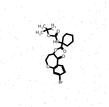 CC(C)(C)OC(=O)NC1(C(=O)OC2CCOc3cc(Br)ccc3C2=O)CCCCC1